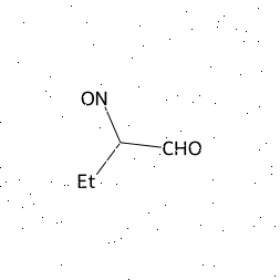 CCC(C=O)N=O